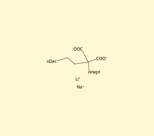 CCCCCCCCCCCCC(CCCCCCC)(C(=O)[O-])C(=O)[O-].[Li+].[Na+]